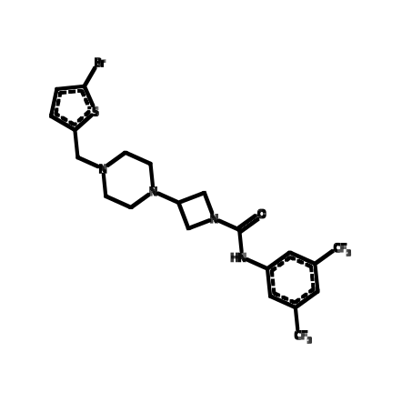 O=C(Nc1cc(C(F)(F)F)cc(C(F)(F)F)c1)N1CC(N2CCN(Cc3ccc(Br)s3)CC2)C1